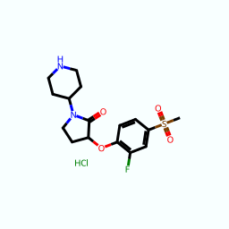 CS(=O)(=O)c1ccc(OC2CCN(C3CCNCC3)C2=O)c(F)c1.Cl